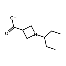 CCC(CC)N1CC(C(=O)O)C1